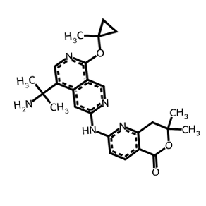 CC1(C)Cc2nc(Nc3cc4c(C(C)(C)N)cnc(OC5(C)CC5)c4cn3)ccc2C(=O)O1